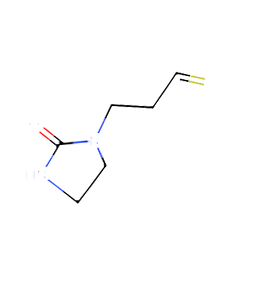 O=C1NCCN1CCC=S